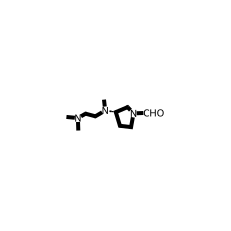 CN(C)CCN(C)[C@H]1CCN(C=O)C1